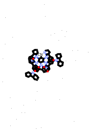 N#Cc1c(-n2c3ccccc3c3cccnc32)c(-n2c3ccccc3c3cc(-n4c5ccccc5c5ccccc54)ccc32)c(-n2c3ccccc3c3cccnc32)c(-n2c3ccccc3c3cc(-n4c5ccccc5c5ccccc54)ccc32)c1-n1c2ccccc2c2cccnc21